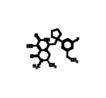 CCc1cc(F)cc(C2(CC3NC(=O)C(O)=C4C(=O)N(C)[C@@H](C)CN43)CCCC2)c1